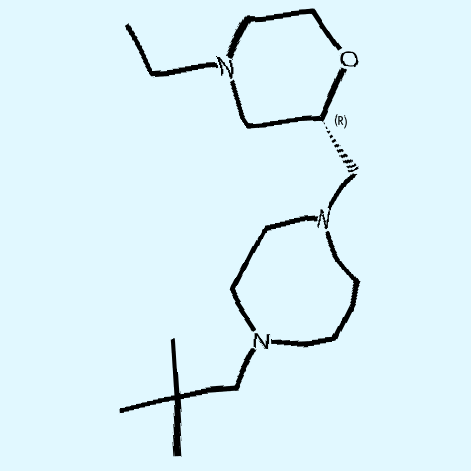 CCN1CCO[C@H](CN2CCN(CC(C)(C)C)CC2)C1